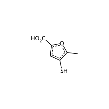 Cc1oc(C(=O)O)cc1S